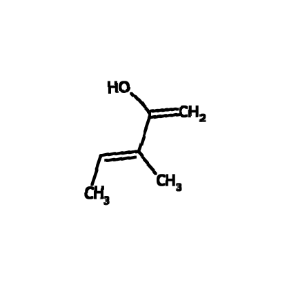 C=C(O)/C(C)=C/C